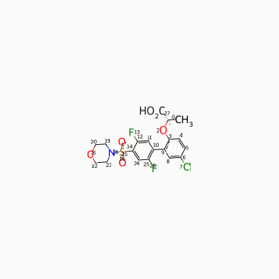 C[C@H](Oc1ccc(Cl)cc1-c1cc(F)c(S(=O)(=O)N2CCOCC2)cc1F)C(=O)O